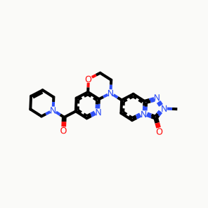 Cn1nc2cc(N3CCOc4cc(C(=O)N5CC=CCC5)cnc43)ccn2c1=O